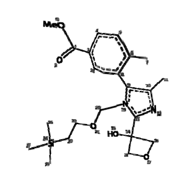 COC(=O)c1ccc(C)c(-c2c(C)nc(C3(O)COC3)n2COCC[Si](C)(C)C)c1